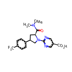 CON(C)C(=O)[C@@H]1CC(c2ccc(C(F)(F)F)cc2)CN1c1ncc(C(=O)O)cn1